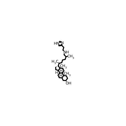 CC(CCC[C@@H](C)[C@H]1CC[C@H]2[C@@H]3CCC4C[C@@H](O)CC[C@]4(C)[C@H]3CC[C@]12C)CNCCc1c[nH]cn1